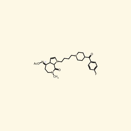 CC(=O)O/N=C1\CCN(C)C(=O)C2C1C=CN2CCCCN1CCC(C(=O)c2ccc(F)cc2)CC1